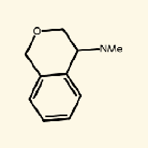 CNC1COCc2ccccc21